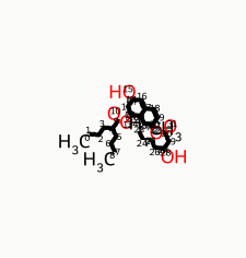 CCCCC(CCCC)C(=O)O[C@H]1C[C@H](O)C=C2C=C[C@@H](C)[C@H](CC[C@@H]3C[C@@H](O)CC(=O)O3)[C@H]21